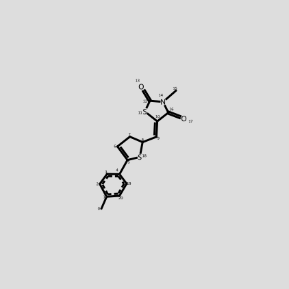 Cc1ccc(C2=CCC(/C=C3\SC(=O)N(C)C3=O)S2)cc1